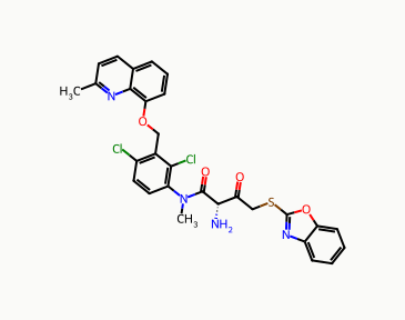 Cc1ccc2cccc(OCc3c(Cl)ccc(N(C)C(=O)[C@@H](N)C(=O)CSc4nc5ccccc5o4)c3Cl)c2n1